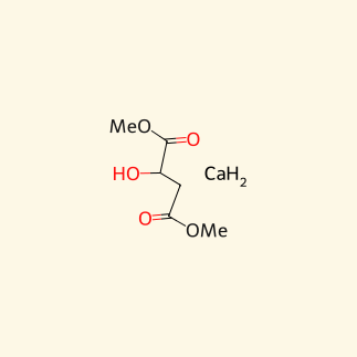 COC(=O)CC(O)C(=O)OC.[CaH2]